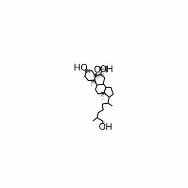 CC(CO)CCCC(C)C1CCC2C3C[C@@H](O)[C@@]4(O)C[C@@H](O)CC[C@]4(C)C3CC[C@]12C